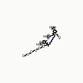 C=C(/C=C/C=C/C=C/C=C1/N(CCOC)c2ccc(S(=O)(=O)O)cc2C1(C)CCCS(=O)(=O)O)C(C)(CCOCCOCCOCCOCCOCCOC)c1cc(S(=O)(=O)O)ccc1C